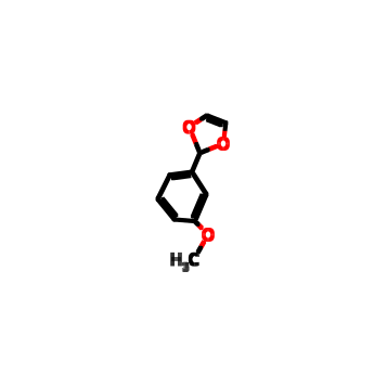 COc1cccc(C2OC=CO2)c1